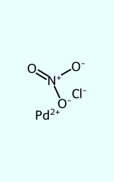 O=[N+]([O-])[O-].[Cl-].[Pd+2]